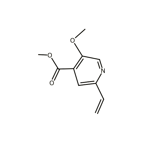 C=Cc1cc(C(=O)OC)c(OC)cn1